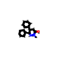 Cn1nc(-c2ccccc2)c(-c2ccccc2)cc1=O